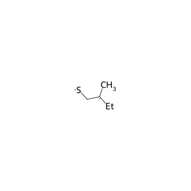 CC[C](C)C[S]